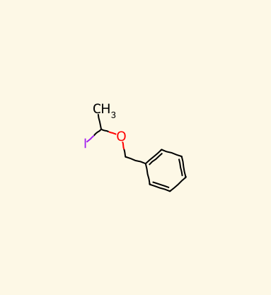 CC(I)OCc1ccccc1